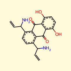 C=CC(N)c1ccc(C(N)C=C)c2c1C(=O)c1c(O)ccc(O)c1C2=O